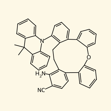 CC1(C)c2ccccc2N(c2cccc3c2CCc2c(ccc(C#N)c2N)-c2ccccc2Oc2ccccc2-3)c2ccccc21